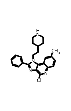 Cc1ccc2nc(Cl)c3nc(-c4ccccc4)n(CCC4CCNCC4)c3c2c1